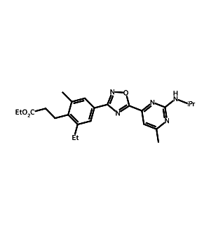 CCOC(=O)CCc1c(C)cc(-c2noc(-c3cc(C)nc(NC(C)C)n3)n2)cc1CC